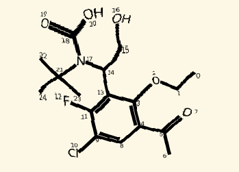 CCOc1c(C(C)=O)cc(Cl)c(F)c1C(CO)N(C(=O)O)C(C)(C)C